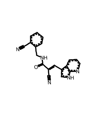 N#C/C(=C\c1c[nH]c2ncccc12)C(=O)NCc1ccccc1C#N